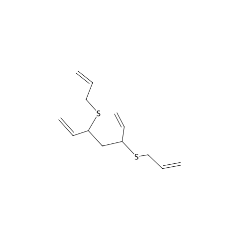 C=CCSC(C=C)CC(C=C)SCC=C